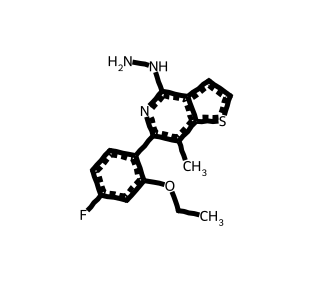 CCOc1cc(F)ccc1-c1nc(NN)c2ccsc2c1C